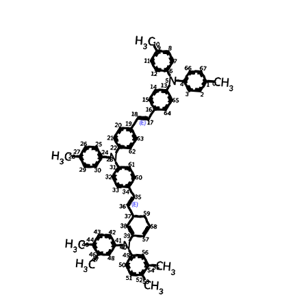 Cc1ccc(N(c2ccc(C)cc2)c2ccc(/C=C/c3ccc(N(c4ccc(C)cc4)c4ccc(/C=C/C5C=C(N(c6ccc(C)c(C)c6)c6ccc(C)c(C)c6)C=CC5)cc4)cc3)cc2)cc1